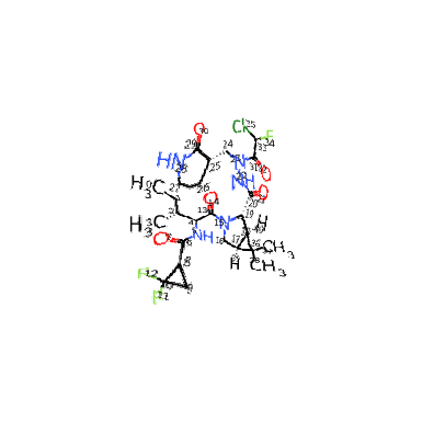 CC[C@@H](C)[C@H](NC(=O)[C@H]1CC1(F)F)C(=O)N1C[C@H]2[C@@H]([C@H]1C(=O)NN(C[C@@H]1CCNC1=O)C(=O)[C@H](F)Cl)C2(C)C